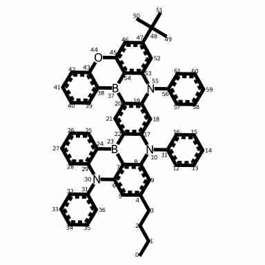 CCCCc1cc2c3c(c1)N(c1ccccc1)c1cc4c(cc1B3c1ccccc1N2c1ccccc1)B1c2ccccc2Oc2cc(C(C)(C)C)cc(c21)N4c1ccccc1